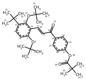 CC(C)(C)Oc1ccc(C(C)(C)C)c(OC(C)(C)C)c1/C=C/C(=O)c1ccc(OC(=O)C(C)(C)C)cc1